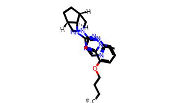 Cc1nccc(N2C[C@H]3CC[C@@H](C2)[C@@H]3Nc2nc3c(OCCCC(F)(F)F)cccn3n2)n1